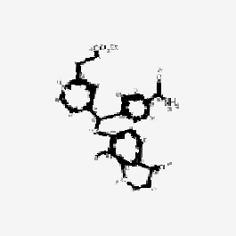 CCOC(=O)CCc1cc(C(Oc2ccc3c(c2C)OCCC3=O)c2ccc(C(N)=O)cc2)ccn1